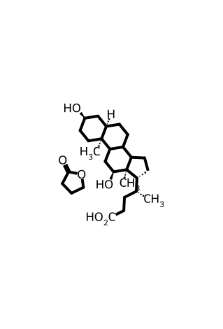 C[C@H](CCC(=O)O)[C@H]1CCC2C3CC[C@@H]4C[C@H](O)CC[C@]4(C)C3C[C@H](O)[C@@]21C.O=C1CCCO1